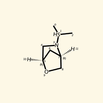 C[SH](C)N1C[C@H]2C[C@@H]1CO2